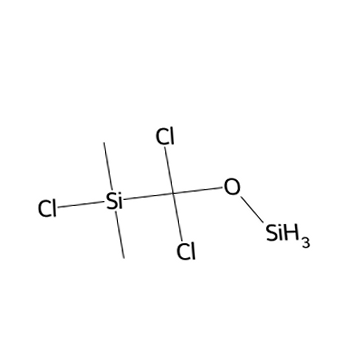 C[Si](C)(Cl)C(Cl)(Cl)O[SiH3]